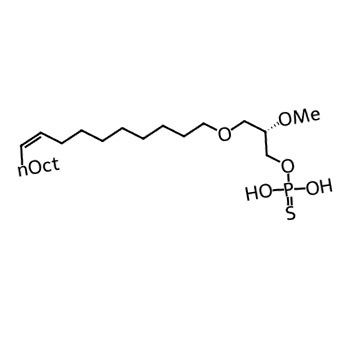 CCCCCCCC/C=C\CCCCCCCCOC[C@@H](COP(O)(O)=S)OC